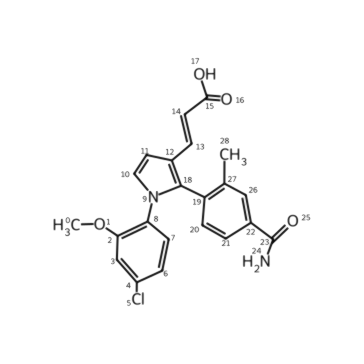 COc1cc(Cl)ccc1-n1ccc(C=CC(=O)O)c1-c1ccc(C(N)=O)cc1C